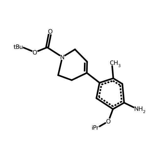 Cc1cc(N)c(OC(C)C)cc1C1=CCN(C(=O)OC(C)(C)C)CC1